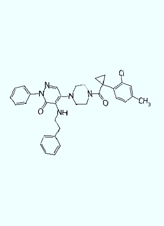 Cc1ccc(C2(C(=O)N3CCN(c4cnn(-c5ccccc5)c(=O)c4NCCc4ccccc4)CC3)CC2)c(Cl)c1